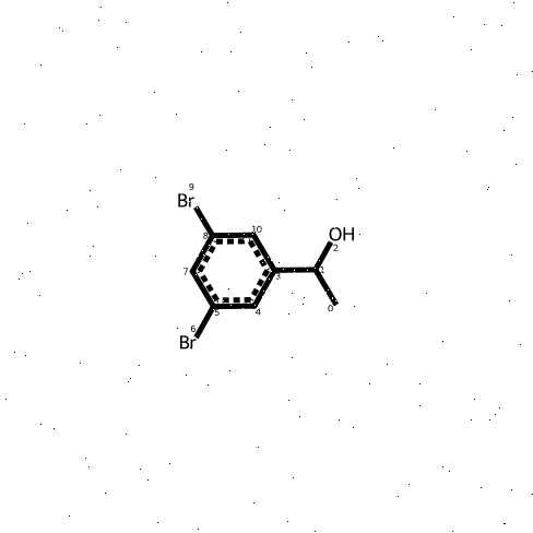 C[C](O)c1cc(Br)cc(Br)c1